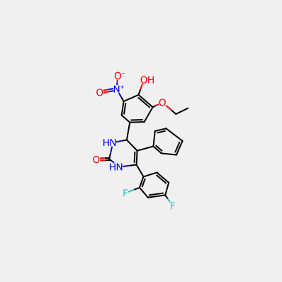 CCOc1cc(C2NC(=O)NC(c3ccc(F)cc3F)=C2c2ccccc2)cc([N+](=O)[O-])c1O